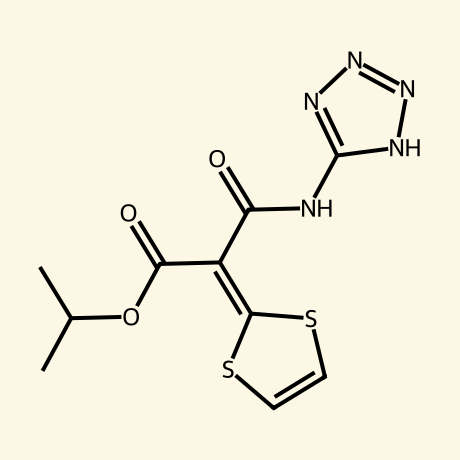 CC(C)OC(=O)C(C(=O)Nc1nnn[nH]1)=C1SC=CS1